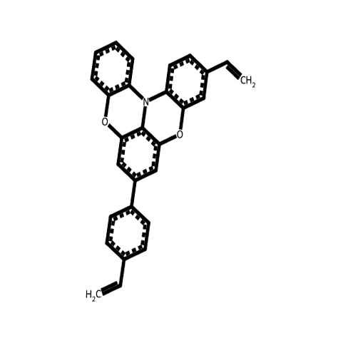 C=Cc1ccc(-c2cc3c4c(c2)Oc2cc(C=C)ccc2N4c2ccccc2O3)cc1